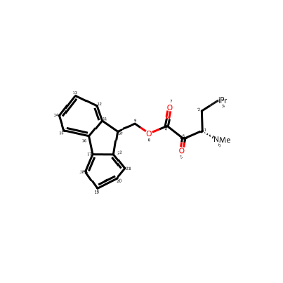 CN[C@@H](CC(C)C)C(=O)C(=O)OCC1c2ccccc2-c2ccccc21